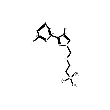 C[Si](C)(C)CCOCn1cc(Br)c(-c2cccc(F)n2)n1